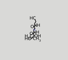 C#CCCNC(=O)/C=C/NC(=O)C(O)C(C)(C)CO